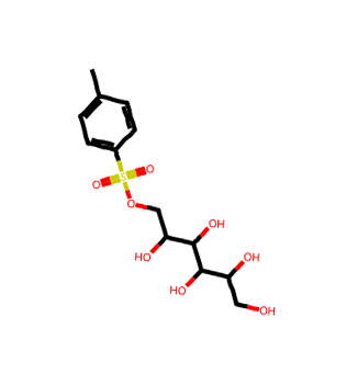 Cc1ccc(S(=O)(=O)OCC(O)C(O)C(O)C(O)CO)cc1